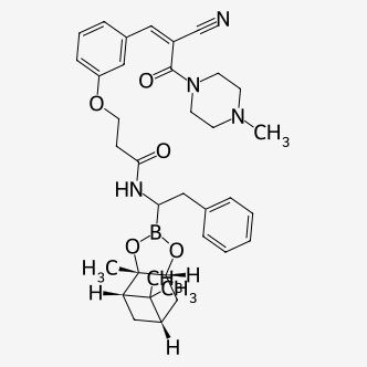 CN1CCN(C(=O)C(C#N)=Cc2cccc(OCCC(=O)NC(Cc3ccccc3)B3O[C@@H]4C[C@@H]5C[C@@H](C5(C)C)[C@]4(C)O3)c2)CC1